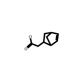 O=C(Cl)CC1CC2C=CC1C2